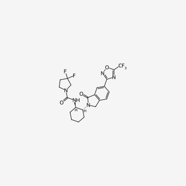 O=C(N[C@@H]1CCCC[C@H]1N1Cc2ccc(-c3noc(C(F)(F)F)n3)cc2C1=O)N1CCC(F)(F)C1